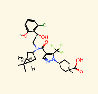 COc1cccc(Cl)c1C(O)CN(C(=O)c1cnn(C2CCC(C)(C(=O)O)CC2)c1C(F)(F)F)C1C[C@@H]2[C@H](C1)C2(C)C